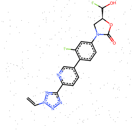 C=Cn1nnc(-c2ccc(-c3ccc(N4C[C@@H](C(O)F)OC4=O)cc3F)cn2)n1